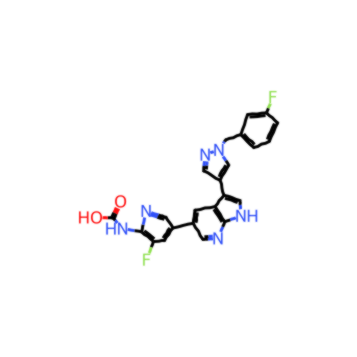 O=C(O)Nc1ncc(-c2cnc3[nH]cc(-c4cnn(Cc5cccc(F)c5)c4)c3c2)cc1F